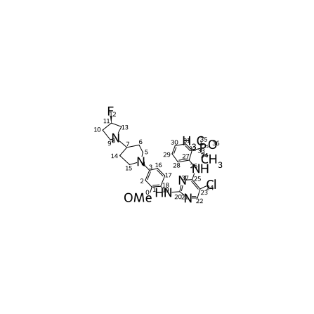 COc1cc(N2CCC(N3CC[C@@H](F)C3)CC2)ccc1Nc1ncc(Cl)c(Nc2ccccc2P(C)(C)=O)n1